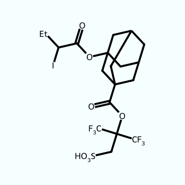 CCC(I)C(=O)OC12CC3CC(C1)CC(C(=O)OC(CS(=O)(=O)O)(C(F)(F)F)C(F)(F)F)(C3)C2